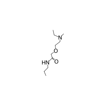 CCCNC(=O)COCCN(C)CC